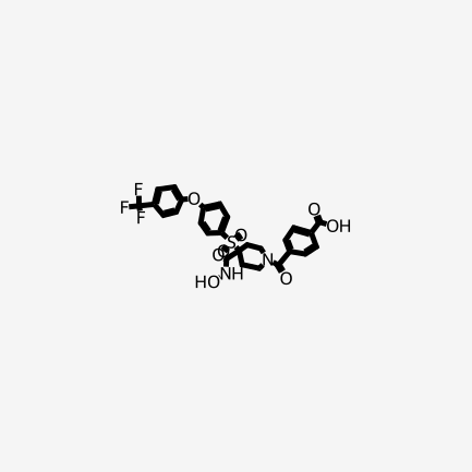 O=C(O)c1ccc(C(=O)N2CCC(C(=O)NO)(S(=O)(=O)c3ccc(Oc4ccc(C(F)(F)F)cc4)cc3)CC2)cc1